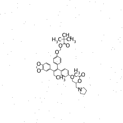 CCC(=C(c1ccc(OCOC(=O)C(C)(C)C)cc1)c1ccc(OCC(CN2CCCC2)OC(C)=O)cc1)c1ccc2c(c1)OCO2